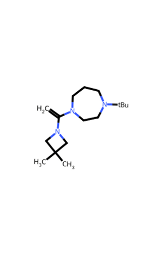 C=C(N1CCCN(C(C)(C)C)CC1)N1CC(C)(C)C1